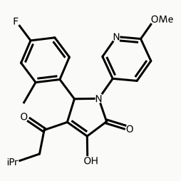 COc1ccc(N2C(=O)C(O)=C(C(=O)CC(C)C)C2c2ccc(F)cc2C)cn1